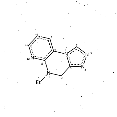 CCN1Cc2nncn2-c2cccnc21